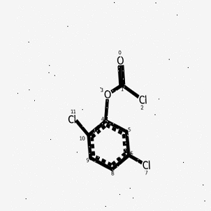 O=C(Cl)Oc1cc(Cl)ccc1Cl